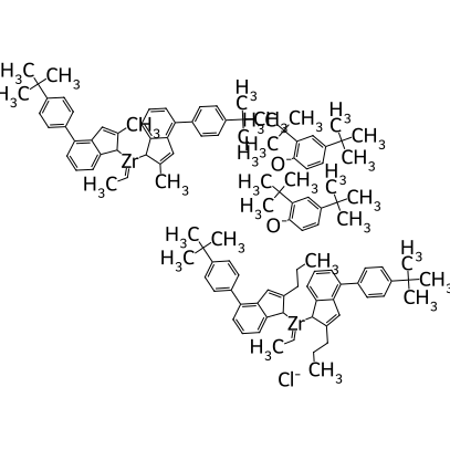 CC(C)(C)c1ccc([O-])c(C(C)(C)C)c1.CC(C)(C)c1ccc([O-])c(C(C)(C)C)c1.C[CH]=[Zr]([CH]1C(C)=Cc2c(-c3ccc(C(C)(C)C)cc3)cccc21)[CH]1C(C)=Cc2c(-c3ccc(C(C)(C)C)cc3)cccc21.C[CH]=[Zr]([CH]1C(CCC)=Cc2c(-c3ccc(C(C)(C)C)cc3)cccc21)[CH]1C(CCC)=Cc2c(-c3ccc(C(C)(C)C)cc3)cccc21.[Cl-]